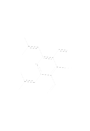 CC(C)=Cc1nc(C=C(C)C)c(C=O)c(O)c1C=O